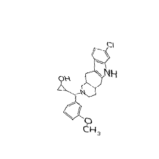 COc1cccc(C(C2CC2O)N2CCC3Cc4[nH]c5cc(Cl)ccc5c4CC3C2)c1